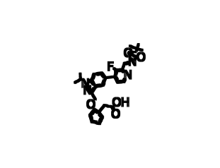 CC(C)n1nc(COc2ccccc2CC(=O)O)c2cc(-c3ccnc(C=NS(=O)(=O)C(C)(C)C)c3F)ccc21